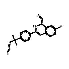 CC(C)(N=[N+]=[N-])c1ccc(C2=Cc3ccc(F)cc3C(C=O)N2)cc1